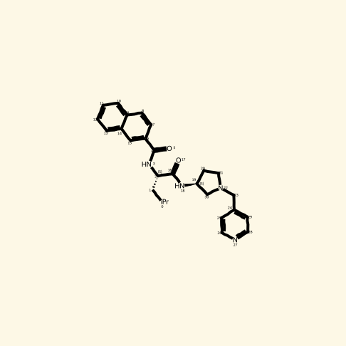 CC(C)C[C@H](NC(=O)c1ccc2ccccc2c1)C(=O)N[C@H]1CCN(Cc2ccncc2)C1